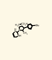 CC(=O)O.CC1C(c2ccc(C(C)(C)C)cc2)CCN1C1NC=CCN1